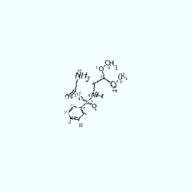 COC(CNS(=O)(=O)c1ccccc1)OC.NC=O